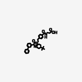 CC(C)(C)C1CCC2(CC1)N=C(c1cccc(-c3ccccc3)c1)C(=O)N2CCc1ccc(C(=O)NCCC(=O)O)cc1